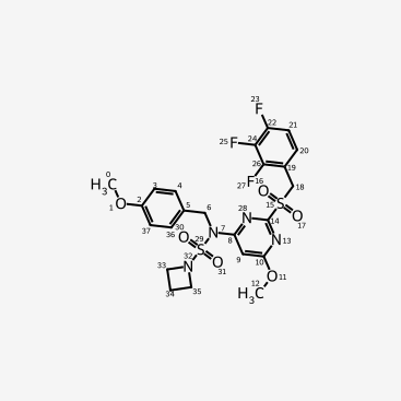 COc1ccc(CN(c2cc(OC)nc(S(=O)(=O)Cc3ccc(F)c(F)c3F)n2)S(=O)(=O)N2CCC2)cc1